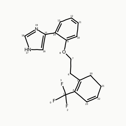 FC(F)(F)C1=C(CCOc2ccccc2-c2c[nH]cn2)CCC=C1